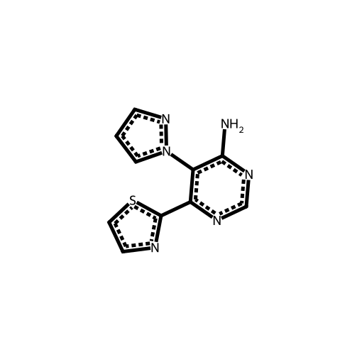 Nc1ncnc(-c2nccs2)c1-n1cccn1